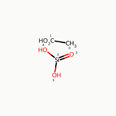 CC(=O)O.O=[Si](O)O